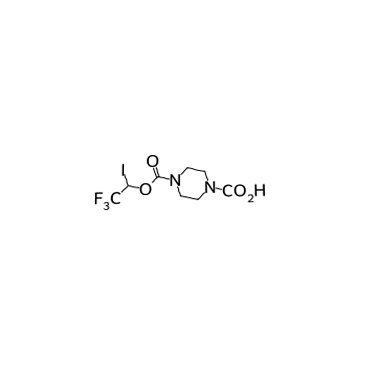 O=C(O)N1CCN(C(=O)OC(I)C(F)(F)F)CC1